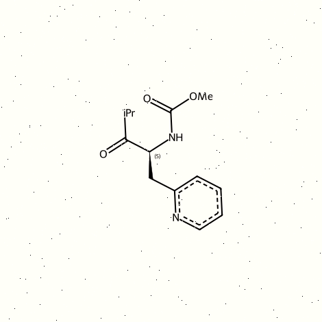 COC(=O)N[C@@H](Cc1ccccn1)C(=O)C(C)C